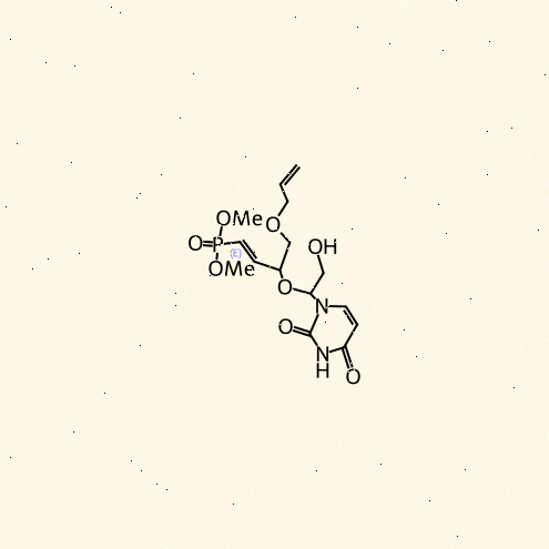 C=CCOCC(/C=C/P(=O)(OC)OC)OC(CO)n1ccc(=O)[nH]c1=O